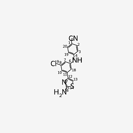 N#Cc1ccc(Nc2cc(Cl)cc(-c3csc(N)n3)c2)cc1